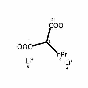 CCCC(C(=O)[O-])C(=O)[O-].[Li+].[Li+]